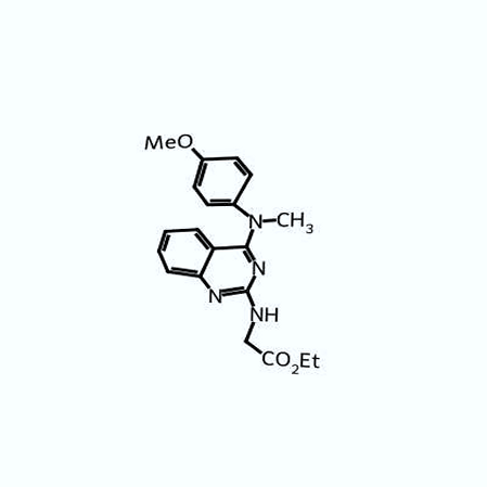 CCOC(=O)CNc1nc(N(C)c2ccc(OC)cc2)c2ccccc2n1